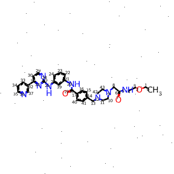 CCOCCNC(=O)CN1CCN(Cc2ccc(C(=O)Nc3cccc(Nc4nccc(-c5cccnc5)n4)c3)cc2)CC1